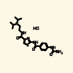 CC(C)N(CCNC(=O)c1csc(NC(=O)c2ccc(NC(N)=O)cc2)n1)C(C)C.Cl